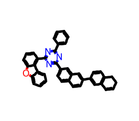 C1=Cc2cc(-c3ccc4ccc(-c5nc(-c6ccccc6)nc(-c6cccc7oc8ccccc8c67)n5)cc4c3)ccc2CC1